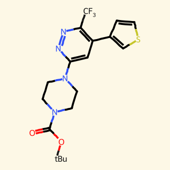 CC(C)(C)OC(=O)N1CCN(c2cc(-c3ccsc3)c(C(F)(F)F)nn2)CC1